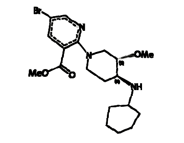 COC(=O)c1cc(Br)cnc1N1CC[C@H](NC2CCCCC2)[C@@H](OC)C1